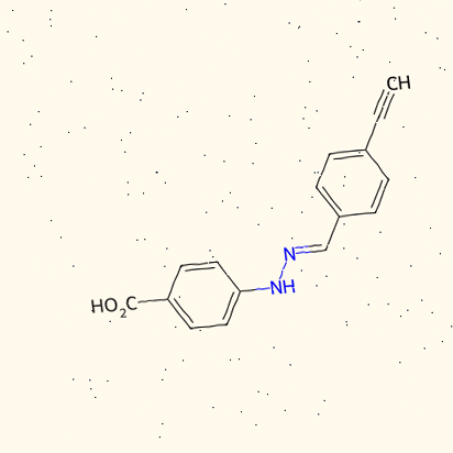 C#Cc1ccc(/C=N/Nc2ccc(C(=O)O)cc2)cc1